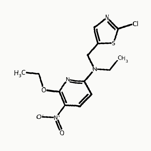 CCOc1nc(N(CC)Cc2cnc(Cl)s2)ccc1[N+](=O)[O-]